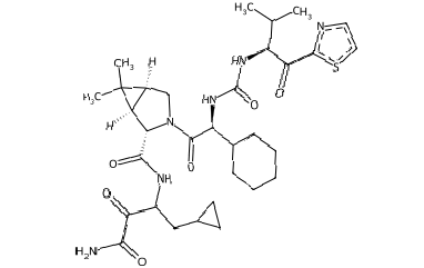 CC(C)[C@H](NC(=O)N[C@H](C(=O)N1C[C@H]2[C@@H]([C@H]1C(=O)NC(CC1CC1)C(=O)C(N)=O)C2(C)C)C1CCCCC1)C(=O)c1nccs1